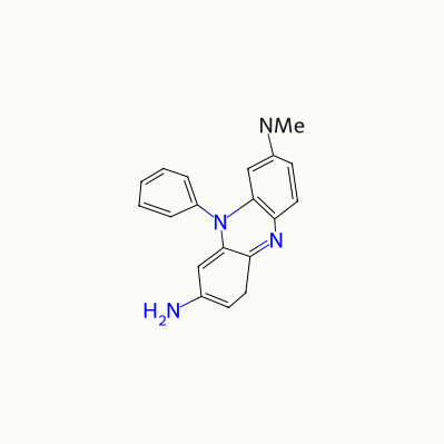 CNc1ccc2c(c1)N(c1ccccc1)C1=CC(N)=CCC1=N2